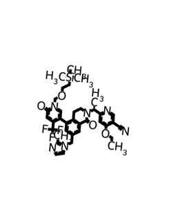 CCOc1cc([C@H](C)N2CCc3c(cc(Cn4ccnc4C)cc3-c3cn(COCC[Si](C)(C)C)c(=O)cc3C(F)(F)F)C2=O)ncc1C#N